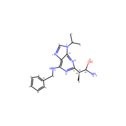 CC(C)n1cnc2c(NCc3ccccc3)nc([C@H](C)C(N)O)nc21